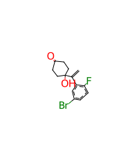 C=C(c1cc(Br)ccc1F)C1(O)CCC(=O)CC1